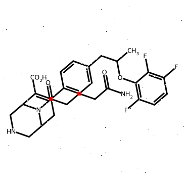 CC(Cc1ccc(C2=C(C(=O)O)C3CNCC(C2)N3C(=O)CCCC(N)=O)cc1)Oc1c(F)ccc(F)c1F